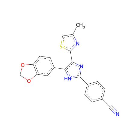 Cc1csc(-c2nc(-c3ccc(C#N)cc3)[nH]c2-c2ccc3c(c2)OCO3)n1